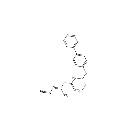 N=N/N=C(\N)CC(=O)N[C@@H](CC(=O)O)Cc1ccc(-c2ccccc2)cc1